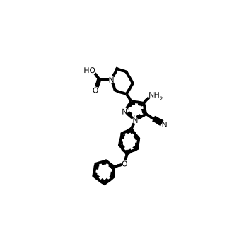 N#Cc1c(N)c(C2CCCN(C(=O)O)C2)nn1-c1ccc(Oc2ccccc2)cc1